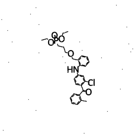 CCOP(=O)(CCCOCc1ccccc1Nc1ccc(C(=O)c2ccccc2C)c(Cl)c1)OCC